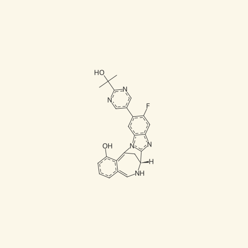 CC(C)(O)c1ncc(-c2cc3c(cc2F)nc2n3C3=c4c(O)cccc4=CN[C@@H]2C3)cn1